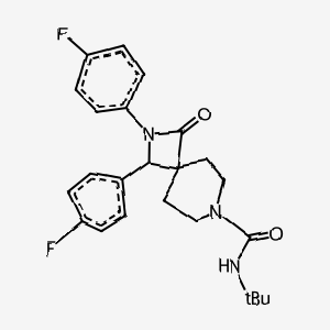 CC(C)(C)NC(=O)N1CCC2(CC1)C(=O)N(c1ccc(F)cc1)C2c1ccc(F)cc1